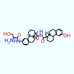 C[C@]1(C(=O)NC(=O)[C@@]2(C)CCC[C@]3(C)c4cc(NC(=O)[C@@H](N)CO)ccc4CC[C@@H]23)CCCC2c3cc(O)ccc3CC[C@H]21